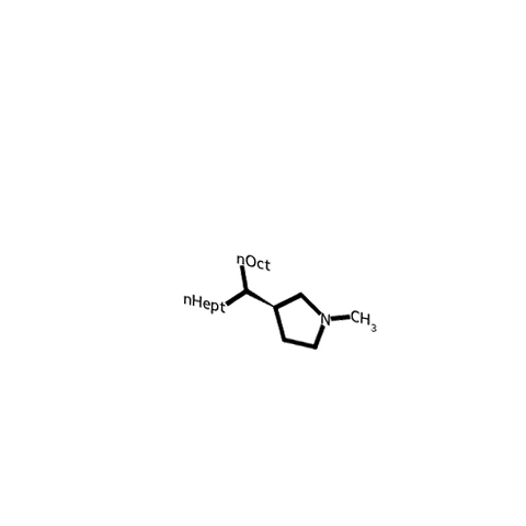 CCCCCCCCC(CCCCCCC)[C@@H]1CCN(C)C1